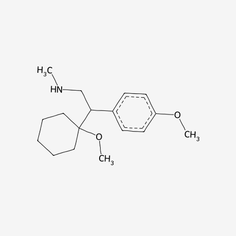 CNCC(c1ccc(OC)cc1)C1(OC)CCCCC1